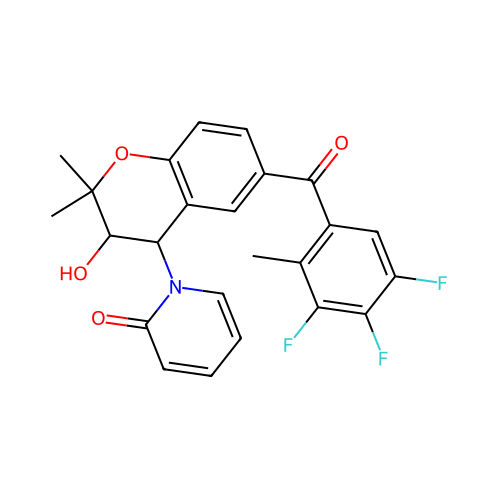 Cc1c(C(=O)c2ccc3c(c2)C(n2ccccc2=O)C(O)C(C)(C)O3)cc(F)c(F)c1F